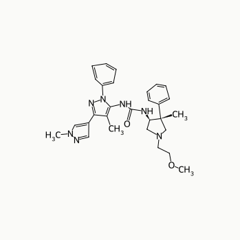 COCCN1C[C@@H](NC(=O)Nc2c(C)c(-c3cnn(C)c3)nn2-c2ccccc2)[C@](C)(c2ccccc2)C1